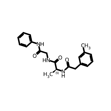 Cc1cccc(CC(=O)N[C@@H](C)C(=O)NCC(=O)Nc2ccccc2)c1